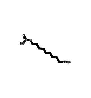 CCCCCCCCCCCCCCCC[O][Ti](=[O])[OH]